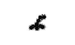 c1ccc(-c2cccc(-c3ccc(-c4ccc5c(-c6ccc7ccccc7c6)c6ccccc6c(-c6ccc7ccccc7c6)c5c4)cc3)n2)nc1